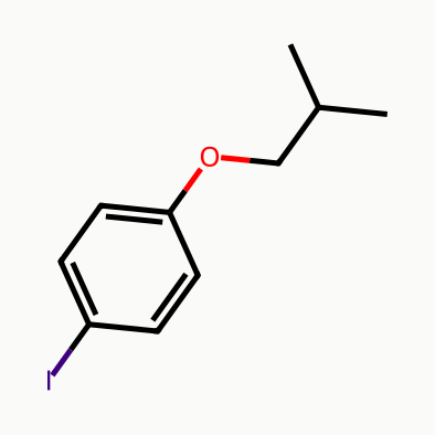 CC(C)COc1ccc(I)cc1